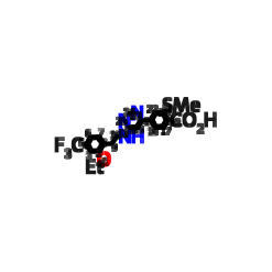 CCOc1cc(C(F)(F)F)ccc1CCNc1cc(-c2ccc(C(=O)O)c(SC)c2)ncn1